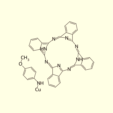 COc1ccc([NH][Cu])cc1.c1ccc2c(c1)-c1nc-2nc2[nH]c(nc3nc(nc4[nH]c(n1)c1ccccc41)-c1ccccc1-3)c1ccccc21